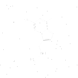 O=C(O)NCc1ncc2c(F)cc(Cl)cn12